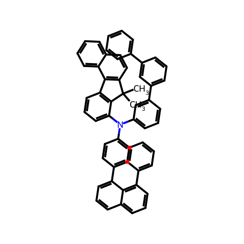 CC1(C)c2ccc3ccccc3c2-c2cccc(N(c3ccc(-c4cccc5cccc(-c6ccccc6)c45)cc3)c3cccc(-c4cccc(-c5ccccc5)c4)c3)c21